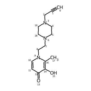 C#CCN1CCN(CCn2ccc(=O)c(O)c2C)CC1